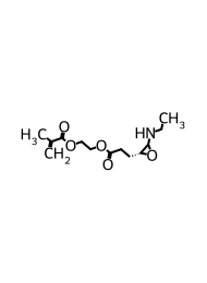 C=C(C)C(=O)OCCOC(=O)CC[C@H]1OC1NCC